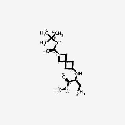 CCC(NC1CC2(C1)CN(C(=O)OC(C)(C)C)C2)C(=O)OC